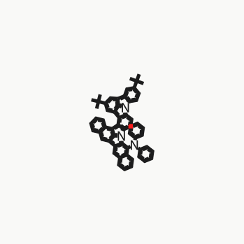 CC(C)(C)c1ccc2c(c1)c1cc(C(C)(C)C)cc3c4c5c6c7ccccc7cc7c8cc9ccccc9c(N(c9ccccc9)c9ccccc9)c8n(c5ccc4n2c13)c76